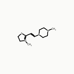 CN1CCN(C=CC2=[N+](C)CCS2)CC1